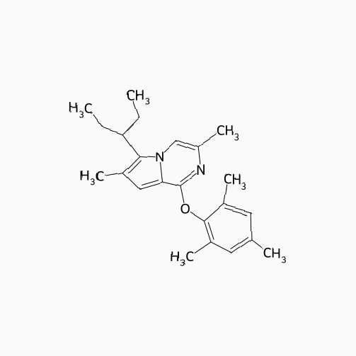 CCC(CC)c1c(C)cc2c(Oc3c(C)cc(C)cc3C)nc(C)cn12